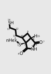 CCCCCCS[C@]12C(=O)NC(=O)[C@H]1CC2CCCS